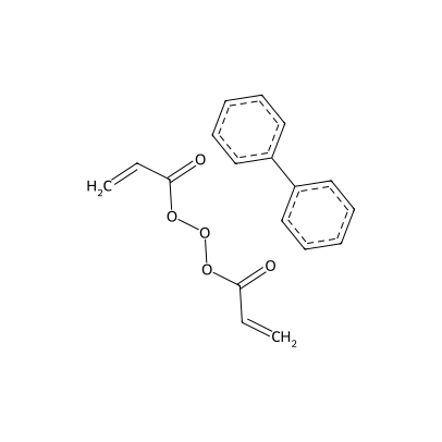 C=CC(=O)OOOC(=O)C=C.c1ccc(-c2ccccc2)cc1